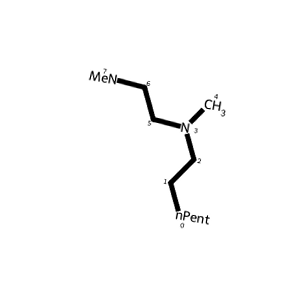 CCCCCCCN(C)CCNC